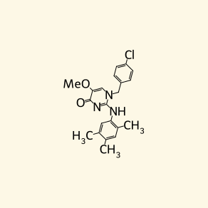 COc1cn(Cc2ccc(Cl)cc2)c(Nc2cc(C)c(C)cc2C)nc1=O